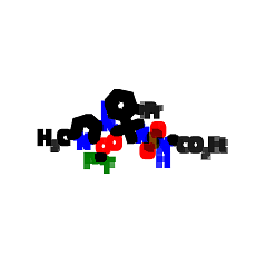 CCOC(=O)CNS(=O)(=O)N1CC(C(=O)Nc2ccc(C)nc2OC(F)F)(c2ccccc2C(C)C)C1